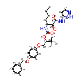 CCCC[C@H](NC(=O)O[C@H](COc1ccc(OCc2ccccc2)cc1)C(C)(C)C)C(=O)C(=O)Nc1ccn[nH]1